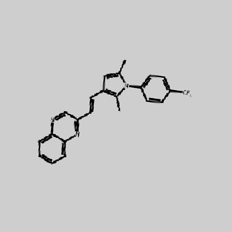 Cc1cc(/C=C/c2cnc3ccccc3n2)c(C)n1-c1ccc(C(F)(F)F)cc1